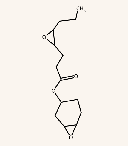 CCCC1OC1CCC(=O)OC1CCC2OC2C1